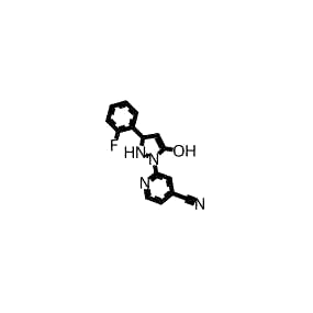 N#Cc1ccnc(N2NC(c3ccccc3F)C=C2O)c1